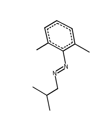 Cc1cccc(C)c1/N=N/CC(C)C